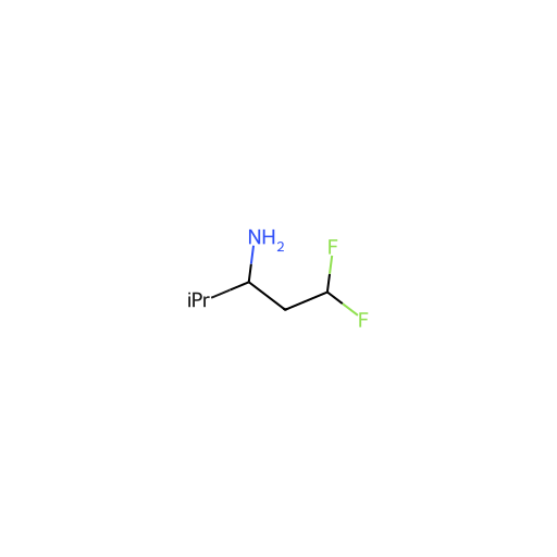 CC(C)C(N)CC(F)F